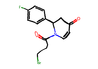 O=C1C=CN(C(=O)CCBr)C(c2ccc(F)cc2)C1